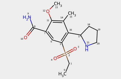 CCS(=O)(=O)c1cc(C(N)=O)c(OC)c(C)c1C1CCCN1